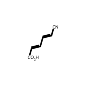 N#CC=CC=CC(=O)O